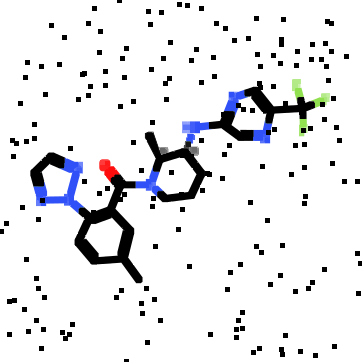 Cc1ccc(-n2nccn2)c(C(=O)N2CCC[C@@H](Nc3cnc(C(F)(F)F)cn3)[C@@H]2C)c1